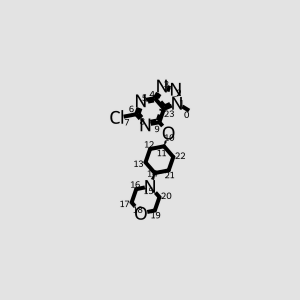 Cn1nnc2nc(Cl)nc(O[C@H]3CC[C@H](N4CCOCC4)CC3)c21